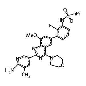 CCCS(=O)(=O)Nc1cccc(-c2cc(OC)c3nc(-c4cnc(N)c(C)c4)nc(N4CCOCC4)c3c2)c1F